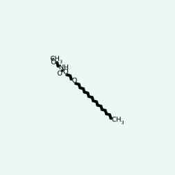 CCCCCCCCCCCCCCCCCCOCCCOC(=O)NCCOC